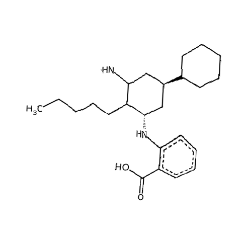 CCCCCC1C([NH])C[C@@H](C2CCCCC2)C[C@@H]1Nc1ccccc1C(=O)O